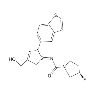 O=C(/N=S1\CC(CO)=CN1c1ccc2sccc2c1)N1CC[C@@H](F)C1